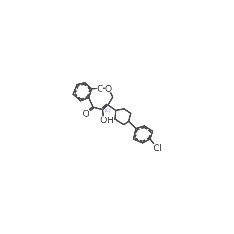 O=C1/C(O)=C(/C2CCC(c3ccc(Cl)cc3)CC2)COCc2ccccc21